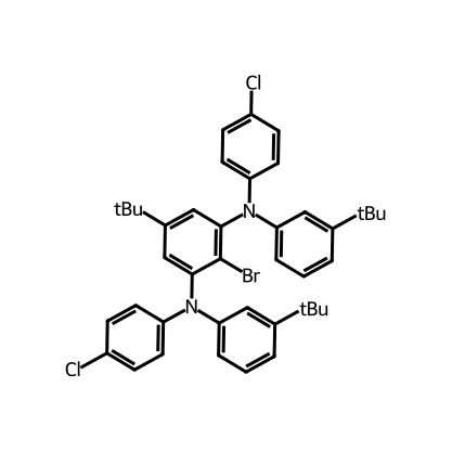 CC(C)(C)c1cccc(N(c2ccc(Cl)cc2)c2cc(C(C)(C)C)cc(N(c3ccc(Cl)cc3)c3cccc(C(C)(C)C)c3)c2Br)c1